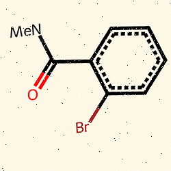 CNC(=O)c1ccccc1Br